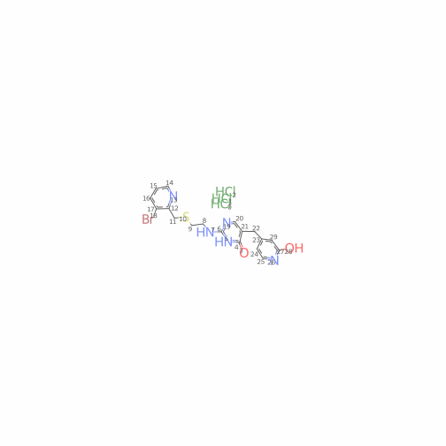 Cl.Cl.Cl.O=c1[nH]c(NCCSCc2ncccc2Br)ncc1Cc1ccnc(O)c1